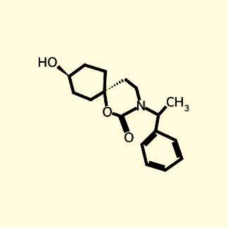 CC(c1ccccc1)N1CC[C@]2(CC[C@H](O)CC2)OC1=O